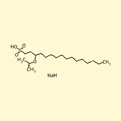 CCCCCCCCCCCCCC(CCS(=O)(=O)O)OC(C)C.[NaH]